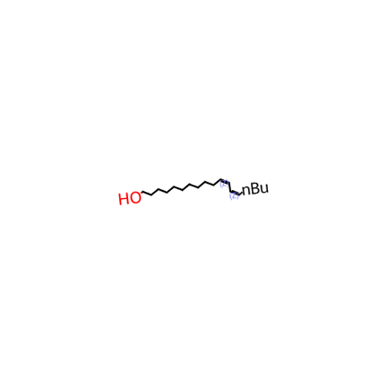 CCCC/C=C\C=C/CCCCCCCCCCO